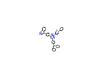 CC/C=C(\C=C/Cc1ccccc1)c1nc(-c2ccc(-c3cncc4ccccc34)cc2)cc(-c2ccc(-c3cc4ccccc4c4ccccc34)cc2)n1